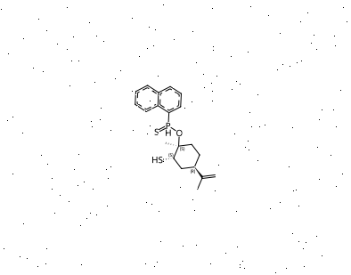 C=C(C)[C@@H]1CC[C@](C)(O[PH](=S)c2cccc3ccccc23)[C@@H](S)C1